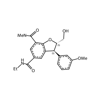 CCNC(=O)c1cc(C(=O)NC)c2c(c1)[C@H](c1cccc(OC)c1)[C@@H](CO)O2